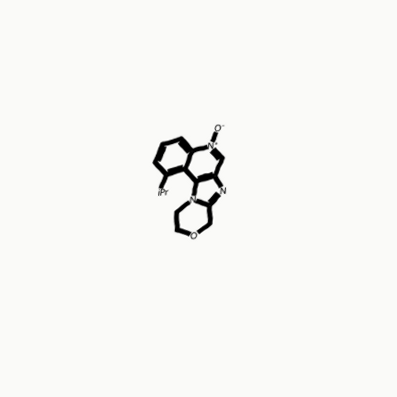 CC(C)c1cccc2c1c1c(c[n+]2[O-])nc2n1CCOC2